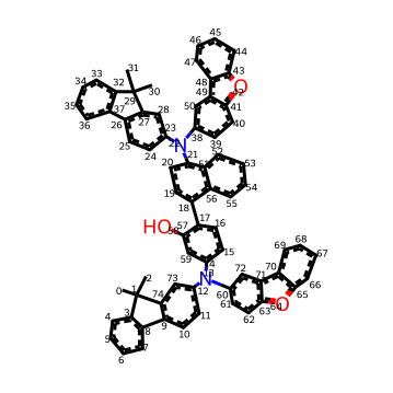 CC1(C)c2ccccc2-c2ccc(N(c3ccc(-c4ccc(N(c5ccc6c(c5)C(C)(C)c5ccccc5-6)c5ccc6oc7ccccc7c6c5)c5ccccc45)c(O)c3)c3ccc4oc5ccccc5c4c3)cc21